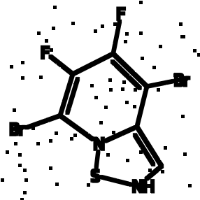 FC1=C(Br)C2=CNSN2C(Br)=C1F